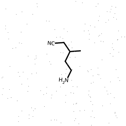 CC(CC#N)CCN